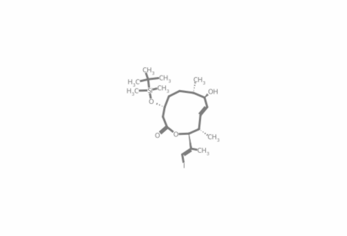 C/C(=C\I)[C@H]1OC(=O)C[C@H](O[Si](C)(C)C(C)(C)C)CC[C@H](C)[C@@H](O)/C=C/[C@@H]1C